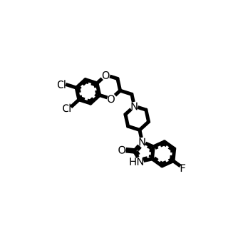 O=c1[nH]c2cc(F)ccc2n1C1CCN(CC2COc3cc(Cl)c(Cl)cc3O2)CC1